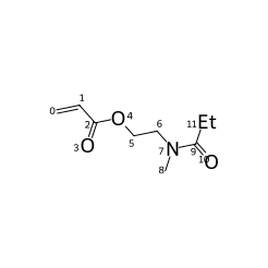 C=CC(=O)OCCN(C)C(=O)CC